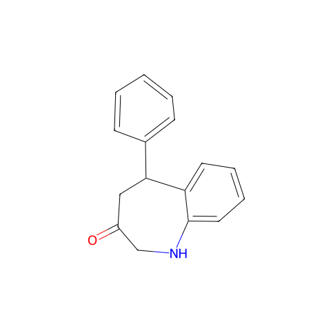 O=C1CNc2ccccc2C(c2ccccc2)C1